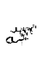 CCC(=O)Nc1nc(N[C@H](C)CCc2ccccc2)nc(C(C)CF)n1